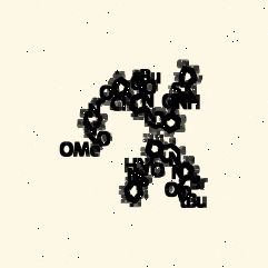 CC(C)(C)OC(=O)c1nc(N2CCc3cccc(C(=O)Nc4nc5ccccc5s4)c3C2)ccc1Br.COC(=O)CN1CCN(CCOc2cccc(-c3ccc(N4CCc5cccc(C(=O)Nc6nc7ccccc7s6)c5C4)nc3C(=O)OC(C)(C)C)c2C(F)(F)F)CC1